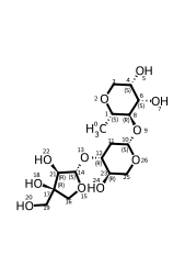 C[C@@H]1OC[C@H](O)[C@H](O)[C@H]1O[C@H]1C[C@@H](O[C@@H]2OC[C@](O)(CO)[C@H]2O)[C@H](O)CO1